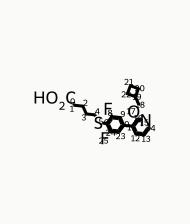 O=C(O)CCCCSc1c(F)cc(-c2cccnc2OCC2CCC2)cc1F